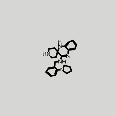 c1ccc(N2CCCC2)c(CNC2=Nc3ccccc3NC23CCNCC3)c1